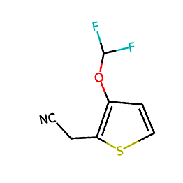 N#CCc1sccc1OC(F)F